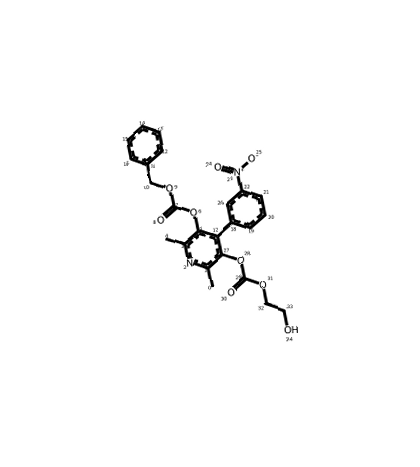 Cc1nc(C)c(OC(=O)OCc2ccccc2)c(-c2cccc([N+](=O)[O-])c2)c1OC(=O)OCCO